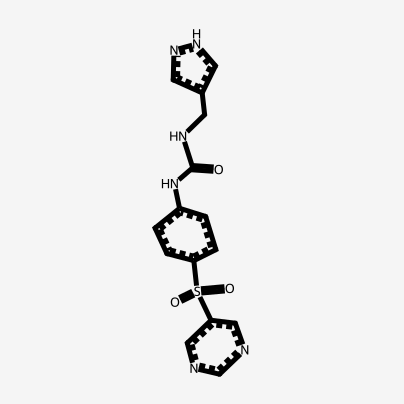 O=C(NCc1cn[nH]c1)Nc1ccc(S(=O)(=O)c2cncnc2)cc1